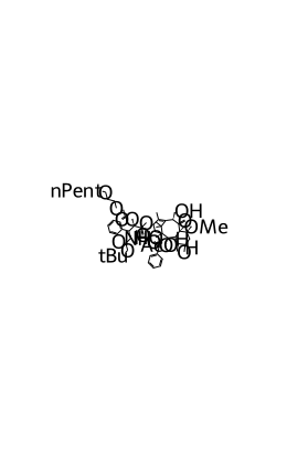 CCCCCOCCOCC(=O)O[C@@H](C(=O)O[C@H]1C[C@@]2(O)[C@@H](OC(=O)c3ccccc3)[C@@H]3[C@]4(OC(C)=O)CO[C@@H]4C[C@H](OC)[C@@]3(C)C(=O)[C@H](CO)C(=C1C)C2(C)C)[C@@H](NC(=O)OC(C)(C)C)c1ccccc1